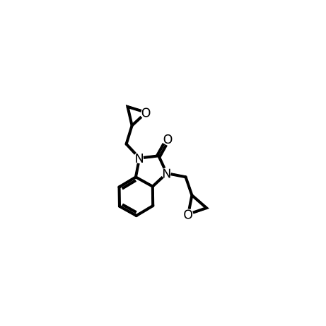 O=C1N(CC2CO2)C2=CC=CCC2N1CC1CO1